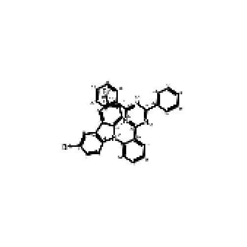 Brc1ccc2c(c1)c1cc(Br)ccc1n2-c1ccccc1-c1nc(-c2ccccc2)nc(-c2ccccc2)n1